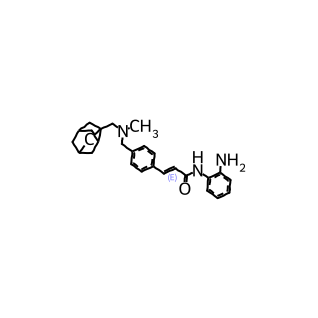 CN(Cc1ccc(/C=C/C(=O)Nc2ccccc2N)cc1)CC12CC3CC(CC1C3)C2